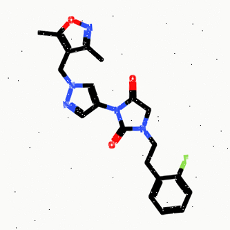 Cc1noc(C)c1Cn1cc(N2C(=O)CN(CCc3ccccc3F)C2=O)cn1